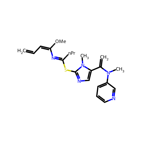 C=C/C=C(\N=C(/CCC)Sc1ncc(C(=C)N(C)c2cccnc2)n1C)OC